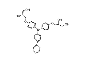 O/C=C(/O)COc1ccc(N(c2ccc(OCC(O)CO)cc2)c2ccc(-c3ccccc3)cc2)cc1